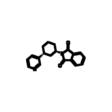 O=C1c2ccccc2C(=O)N1[C@H]1CCC[C@@H](c2cccnc2)C1